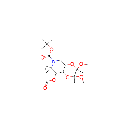 COC1(C)OC2CN(C(=O)OC(C)(C)C)C3(CC3)C(OC=O)C2OC1(C)OC